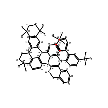 CC(C)(C)c1ccc(N2C3=C(SCc4ccccc43)B3c4ccc5c6c4N(c4cc7c(cc4C6(C)CCC5(C)C)C(C)(C)CCC7(C)C)c4cc(C(C)(C)C)cc2c43)c(-c2ccccc2)c1